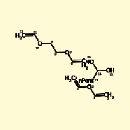 C=COC=C.C=COCCOC=C.CCCCCC(O)O